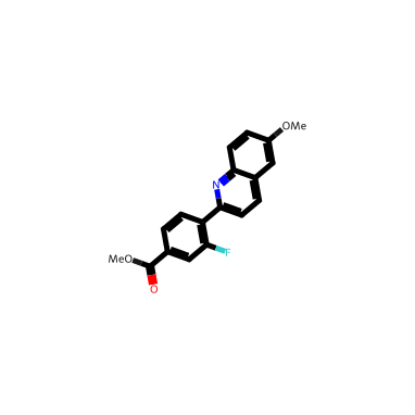 COC(=O)c1ccc(-c2ccc3cc(OC)ccc3n2)c(F)c1